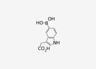 O=C(O)Cc1c[nH]c2ccc(B(O)O)cc12